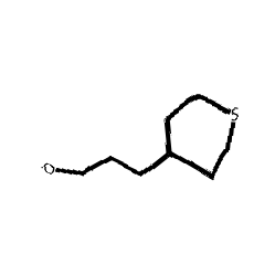 [O]CCCC1CCSCC1